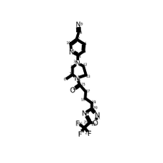 CC1CN(c2ccc(C#N)cn2)CCN1C(=O)CCCc1noc(C(F)(F)F)n1